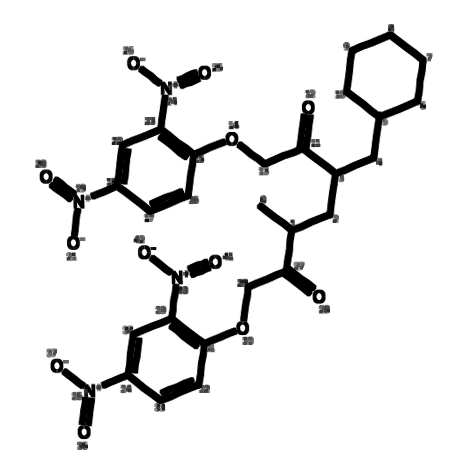 CC(CC(C[C]1CCCCC1)C(=O)COc1ccc([N+](=O)[O-])cc1[N+](=O)[O-])C(=O)COc1ccc([N+](=O)[O-])cc1[N+](=O)[O-]